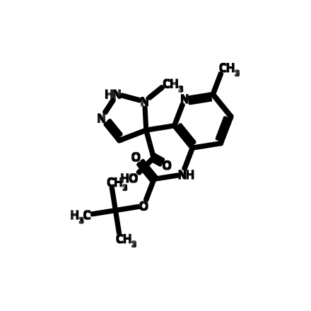 Cc1ccc(NC(=O)OC(C)(C)C)c(C2(C(=O)O)C=NNN2C)n1